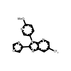 COc1ccc(-n2c(-c3cocn3)nc3cc(C(F)(F)F)cnc32)cn1